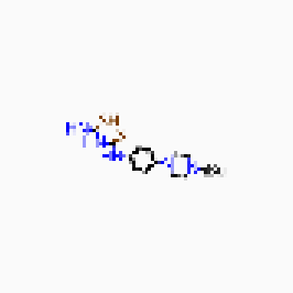 CCC(C)N1CCN(c2ccc(NC(=S)NC(=N)S)cc2)CC1